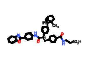 CC(C)C1C2C=C(c3ccc([C@@H](Cc4ccc(C(=O)NCCS(=O)(=O)O)cc4)C(=O)Nc4ccc(-c5nc6ccccc6o5)cc4)cc3)C1(C)CC2